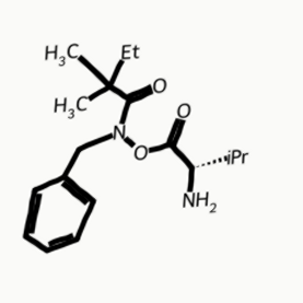 CCC(C)(C)C(=O)N(Cc1ccccc1)OC(=O)[C@@H](N)C(C)C